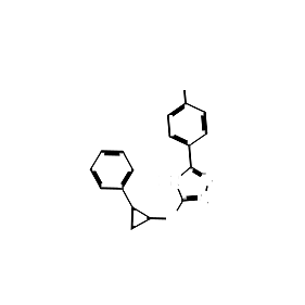 CCc1ccc(-c2nnc(SC3CC3c3ccccc3)[nH]2)cc1